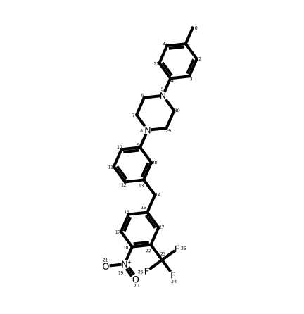 Cc1ccc(N2CCN(c3cccc(Cc4ccc([N+](=O)[O-])c(C(F)(F)F)c4)c3)CC2)cc1